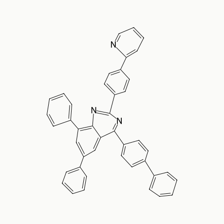 c1ccc(-c2ccc(-c3nc(-c4ccc(-c5ccccn5)cc4)nc4c(-c5ccccc5)cc(-c5ccccc5)cc34)cc2)cc1